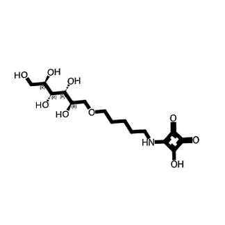 O=c1c(O)c(NCCCCCOC[C@@H](O)[C@@H](O)[C@H](O)[C@H](O)CO)c1=O